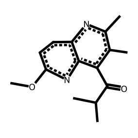 COc1ccc2nc(C)c(C)c(C(=O)C(C)C)c2n1